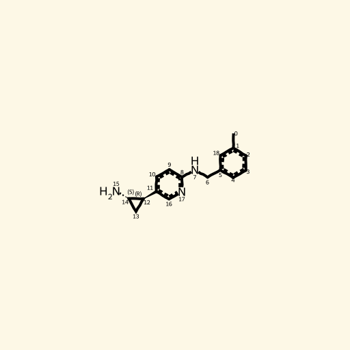 Cc1cccc(CNc2ccc([C@H]3C[C@@H]3N)cn2)c1